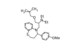 C=C(C)COCC(CN1c2ccccc2SCCC1c1ccc(OC)cc1)N(CC)CC